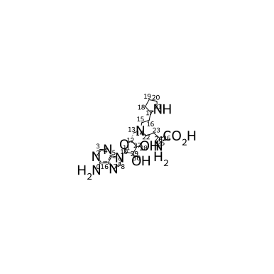 Nc1ncnc2c1ncn2[C@@H]1O[C@H](CN(CCC2CCCN2)CCC(N)C(=O)O)[C@@H](O)[C@H]1O